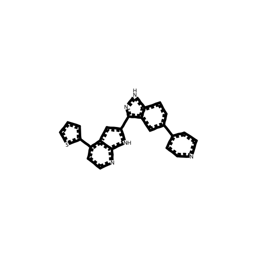 c1csc(-c2ccnc3[nH]c(-c4n[nH]c5ccc(-c6ccncc6)cc45)cc23)c1